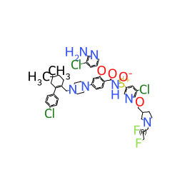 CC1(C)CCC(CN2CCN(c3ccc(C(=O)N[S+]([O-])c4cnc(OCC5CCN(C[C@@H](F)CF)C5)c(Cl)c4)c(Oc4cnc(N)c(Cl)c4)c3)CC2)=C(c2ccc(Cl)cc2)C1